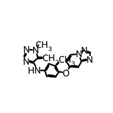 C=C1C(Nc2ccc(Oc3ccn4ncnc4c3)c(C)c2)=NC=NN1C